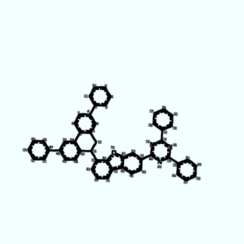 c1ccc(-c2ccc3c(c2)CC(c2cccc4c2oc2cc(-c5nc(-c6ccccc6)nc(-c6ccccc6)n5)ccc24)c2ccc(-c4ccccc4)cc2-3)cc1